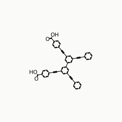 O=C(O)c1ccc(C#Cc2cc(C#Cc3ccccc3)cc(-c3cc(C#Cc4ccccc4)cc(C#Cc4ccc(C(=O)O)cc4)c3)c2)cc1